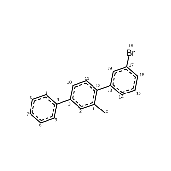 Cc1cc(-c2ccccc2)ccc1-c1cccc(Br)c1